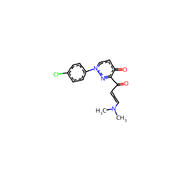 CN(C)C=CC(=O)c1nn(-c2ccc(Cl)cc2)ccc1=O